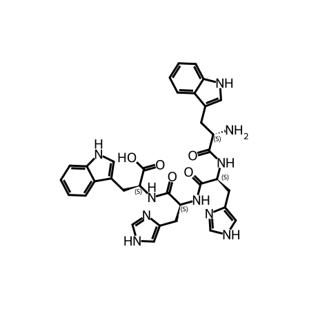 N[C@@H](Cc1c[nH]c2ccccc12)C(=O)N[C@@H](Cc1c[nH]cn1)C(=O)N[C@@H](Cc1c[nH]cn1)C(=O)N[C@@H](Cc1c[nH]c2ccccc12)C(=O)O